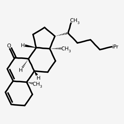 CC(C)CCCC(C)[C@H]1CC[C@H]2[C@@H]3C(=O)C=C4C=CCC[C@]4(C)[C@H]3CC[C@]12C